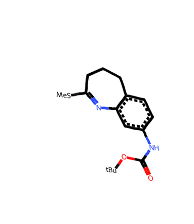 CSC1=Nc2cc(NC(=O)OC(C)(C)C)ccc2CCC1